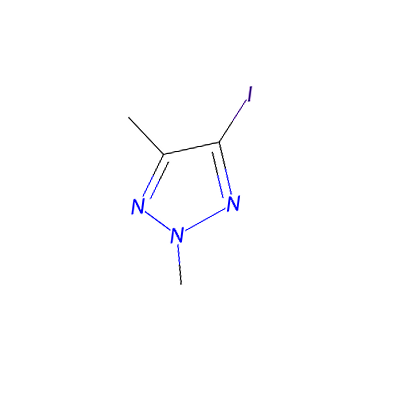 Cc1nn(C)nc1I